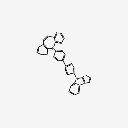 C1=CC2=C(CC1)N(c1ccc(-c3ccc(-n4c5ccccc5c5ccsc54)cc3)cc1)c1ccccc1C=C2